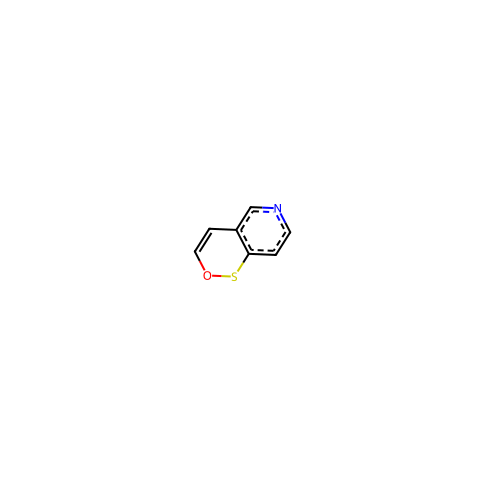 C1=Cc2cnccc2SO1